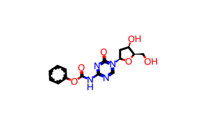 O=C(Nc1ncn([C@H]2C[C@@H](O)[C@@H](CO)O2)c(=O)n1)Oc1ccccc1